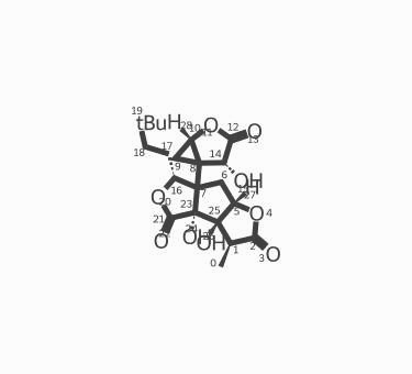 C[C@@H]1C(=O)O[C@H]2CC3(C45C[C@@H]4OC(=O)[C@@H]5O)[C@@H](CCC(C)(C)C)OC(=O)[C@]3(O)[C@]21O